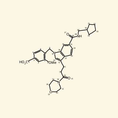 COc1cc(C(=O)O)ccc1Cn1cc(CCC(=O)N2CCOCC2)c2ccc(C(=O)NCC3CCCC3)cc21